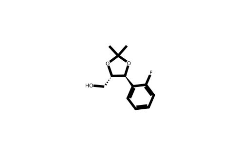 CC1(C)O[C@@H](CO)[C@H](c2ccccc2F)O1